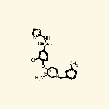 Cc1cccc(CN2CC[C@@H](Oc3ccc(S(=O)(=O)Nc4nccs4)cc3Cl)[C@H](N)C2)c1